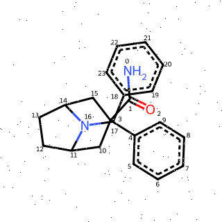 NC(=O)C1(c2ccccc2)CC2CCC(C1)N2Cc1ccccc1